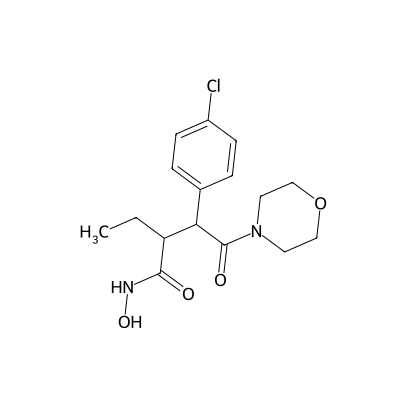 CCC(C(=O)NO)C(C(=O)N1CCOCC1)c1ccc(Cl)cc1